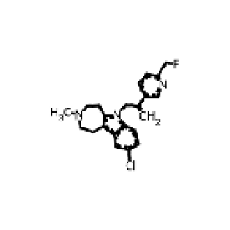 C=C(Cn1c2c(c3cc(Cl)ccc31)CCN(C)CC2)c1ccc(CF)nc1